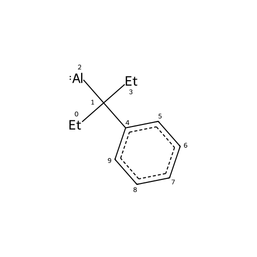 CC[C]([Al])(CC)c1ccccc1